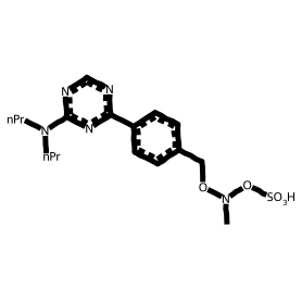 CCCN(CCC)c1ncnc(-c2ccc(CON(C)OS(=O)(=O)O)cc2)n1